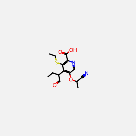 CCSc1c(C(=O)O)ncc(OC(C)C#N)c1C(C=O)CC